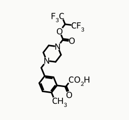 Cc1ccc(CN2CCN(C(=O)OC(C(F)(F)F)C(F)(F)F)CC2)cc1C(=O)C(=O)O